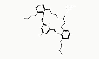 CCCCc1cccc(CCCC)c1N=Cc1cc(Cl)cc(C=Nc2c(CCCC)cccc2CCCC)n1.[Cl-].[Cl-].[Co+2]